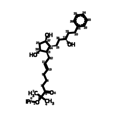 CC(C)OC(C)(C)C(=O)CCC/C=C/C[C@@H]1[C@@H](CC[C@@H](O)CCc2ccccc2)[C@H](O)C[C@@H]1O